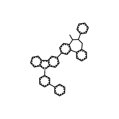 CC1c2ccc(-c3ccc4c(c3)c3ccccc3n4-c3cccc(-c4ccccc4)c3)cc2-c2ccccc2CC1c1ccccc1